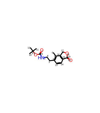 Cc1c(CCNC(=O)OC(C)(C)C)ccc2c1COC2=O